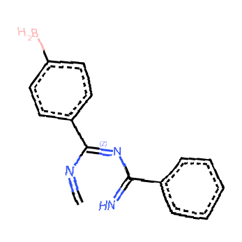 Bc1ccc(/C(N=C)=N/C(=N)c2ccccc2)cc1